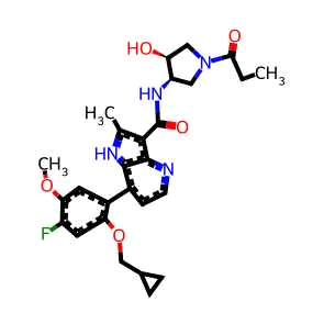 CCC(=O)N1C[C@H](O)[C@H](NC(=O)c2c(C)[nH]c3c(-c4cc(OC)c(F)cc4OCC4CC4)ccnc23)C1